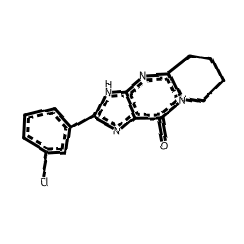 O=c1c2nc(-c3cccc(Cl)c3)[nH]c2nc2n1CCCC2